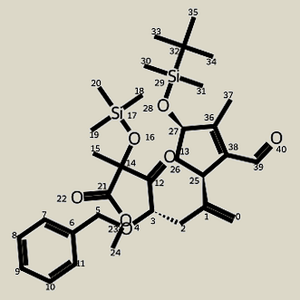 C=C(C[C@H](OCc1ccccc1)C(=O)C(C)(O[Si](C)(C)C)C(=O)OC)[C@H]1C[C@@H](O[Si](C)(C)C(C)(C)C)C(C)=C1C=O